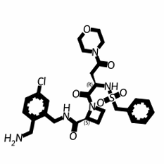 NCc1ccc(Cl)cc1CNC(=O)[C@@H]1CCN1C(=O)[C@@H](CC(=O)N1CCOCC1)NS(=O)(=O)Cc1ccccc1